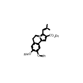 CCOC(=O)c1cc2n(c1C=C(C)C)CCc1cc(OC)c(OC(C)C)cc1-2